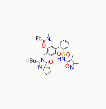 CCCCC1=NC2(CCCC2)C(=O)N1Cc1ccc(-c2ccccc2S(=O)(=O)Nc2onc(C)c2C)c(CN(C)C(=O)CC)c1